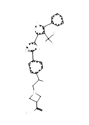 O=C(O)C1CN(CC(O)c2ccc(-c3noc(-c4onc(-c5ccccc5)c4C(F)(F)F)n3)cc2)C1